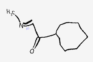 C/N=C/C(=O)C1CCCCC1